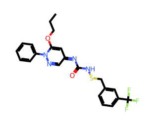 CCCOc1cc(=NC(=O)NSCc2cccc(C(F)(F)F)c2)cnn1-c1ccccc1